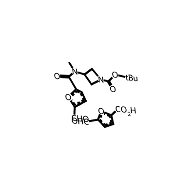 CN(C(=O)c1ccc(C=O)o1)C1CN(C(=O)OC(C)(C)C)C1.O=Cc1ccc(C(=O)O)o1